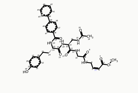 COC(=O)/C=C\CNC(=O)CNC(=O)[C@H](CNC(C)=O)NC(=O)[C@H](CCc1ccc(O)cc1)NC(=O)c1ccc(-c2ccccn2)cc1